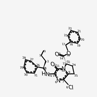 CCC[C@@H](Nc1nc(Cl)c2n(c1=O)[C@H](C(=O)OCc1ccccc1)CC2)c1ccccc1